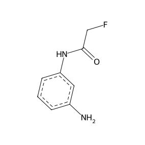 Nc1cccc(NC(=O)CF)c1